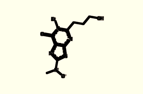 CCn1c(CCCO)nc2sc([S+](C)[O-])nc2c1=O